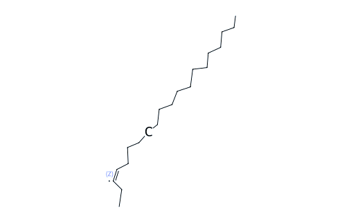 CC/[C]=C\CCCCCCCCCCCCCCCC